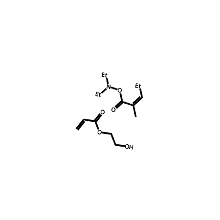 C=CC(=O)OCCO.CCC=C(C)C(=O)ON(CC)CC